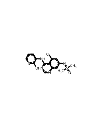 CS(C)(=O)=Nc1cc(Cl)c2c(Nc3cccnc3O)ncnc2c1